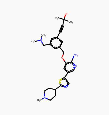 CN(C)Cc1cc(C#CC(C)(C)O)cc(COc2cc(-c3cnc(C4CCN(C)CC4)s3)cnc2N)c1